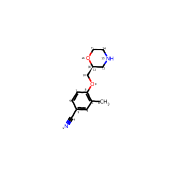 Cc1cc(C#N)ccc1OC[C@@H]1CNCCO1